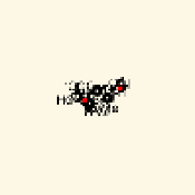 COc1ccc([C@H](Cc2c(Cl)c[n+](O)cc2Cl)c2c(Br)cc(CN(C(=O)O[C@H]3CN4CCC3CC4)c3ccccc3F)cc2C(=O)[O-])cc1OC